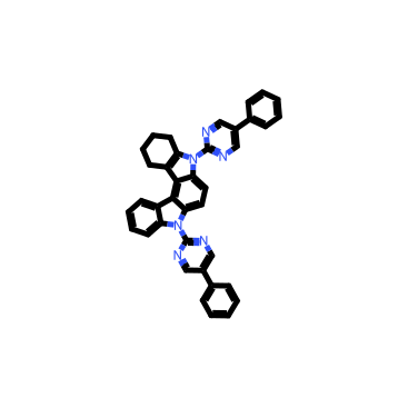 c1ccc(-c2cnc(-n3c4c(c5c6c7ccccc7n(-c7ncc(-c8ccccc8)cn7)c6ccc53)CCCC4)nc2)cc1